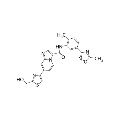 Cc1nc(-c2ccc(C)c(NC(=O)c3cnc4cc(-c5csc(CO)n5)ccn34)c2)no1